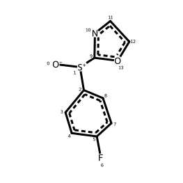 [O-][S+](c1ccc(F)cc1)c1ncco1